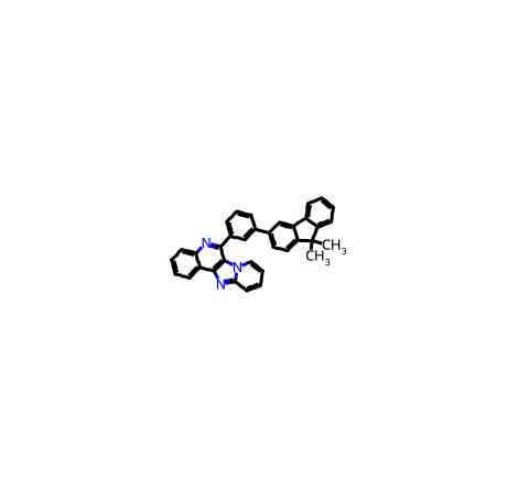 CC1(C)c2ccccc2-c2cc(-c3cccc(-c4nc5ccccc5c5nc6ccccn6c45)c3)ccc21